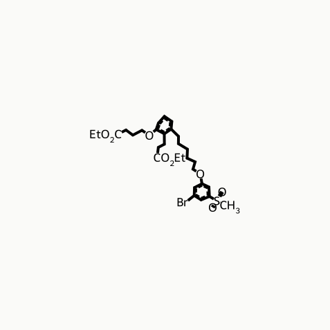 CCOC(=O)CCCOc1cccc(CCCCCCOc2cc(Br)cc(S(C)(=O)=O)c2)c1CCC(=O)OCC